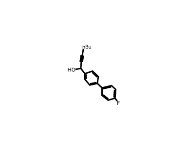 CCCCC#CC(O)c1ccc(-c2ccc(F)cc2)cc1